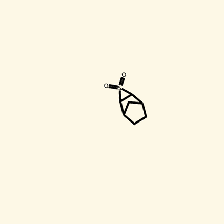 O=S1(=O)C2C3CCC(C3)C21